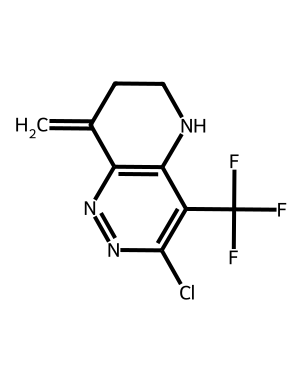 C=C1CCNc2c1nnc(Cl)c2C(F)(F)F